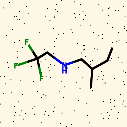 CCC(C)CNCC(F)(F)F